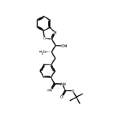 CC(C)(C)OC(=O)NC(=N)c1cccc(C[C@H](N)C(O)c2nc3ccccc3o2)c1